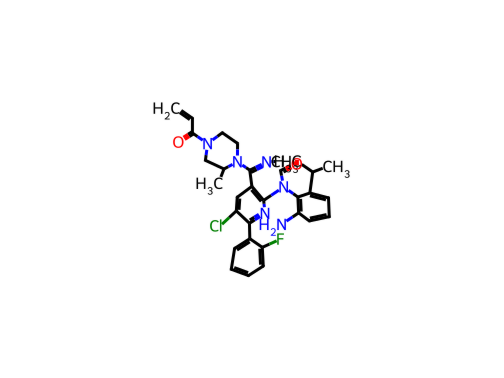 C=CC(=O)N1CCN(/C(=N/C)c2cc(Cl)c(-c3ccccc3F)nc2N(C=O)c2c(N)cccc2C(C)C)C(C)C1